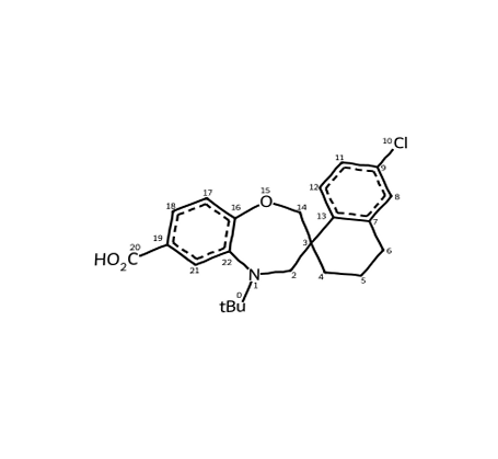 CC(C)(C)N1CC2(CCCc3cc(Cl)ccc32)COc2ccc(C(=O)O)cc21